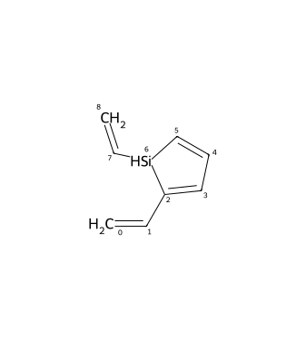 C=CC1=CC=C[SiH]1C=C